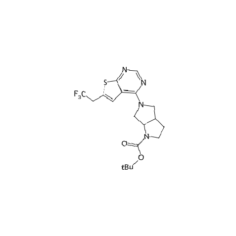 CC(C)(C)OC(=O)N1CCC2CN(c3ncnc4sc(CC(F)(F)F)cc34)CC21